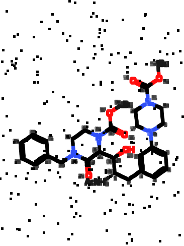 CC(=O)N[C@@H](Cc1cccc(N2CCN(C(=O)OC(C)(C)C)CC2)c1)[C@H](O)[C@H]1C(=O)N(Cc2ccccc2)CCN1C(=O)OC(C)(C)C